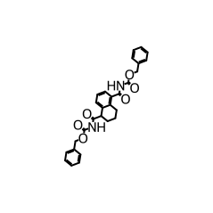 O=C(NC(=O)c1cccc2c1CCCC2C(=O)NC(=O)OCc1ccccc1)OCc1ccccc1